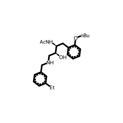 CCCCOc1ccccc1C[C@H](NC(C)=O)[C@@H](O)CNCc1cccc(CC)c1